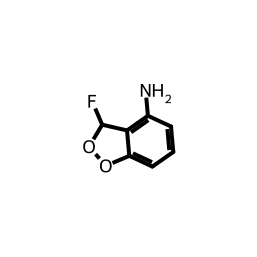 Nc1cccc2c1C(F)OO2